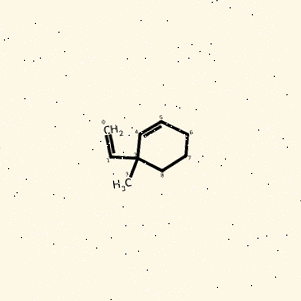 C=CC1(C)C=CCCC1